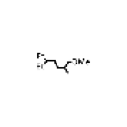 CCC(CC)CCC(C)COC